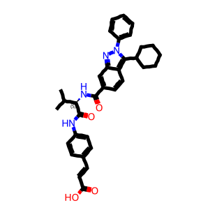 CC(C)[C@H](NC(=O)c1ccc2c(C3CCCCC3)n(-c3ccccc3)nc2c1)C(=O)Nc1ccc(C=CC(=O)O)cc1